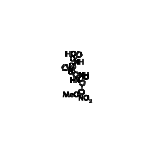 COc1cc(-c2ccc3c(c2)Nc2ccc(C(CCNC(=O)c4ccccc4O)S(=O)(=O)c4ccccc4)cc2NC3=O)ccc1[N+](=O)[O-]